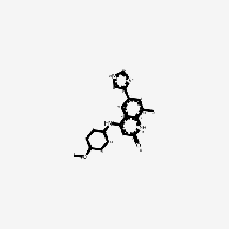 COC1CCC(Nc2cc(=O)[nH]c3c(C)cc(-c4cncs4)cc23)CC1